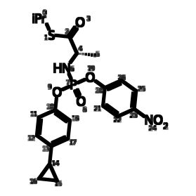 CC(C)SC(=O)[C@H](C)NP(=O)(Oc1ccc(C2CC2)cc1)Oc1ccc([N+](=O)[O-])cc1